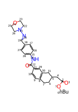 CCCCOC(=O)CC1CCc2ccc(C(=O)Nc3ccc(C=NN4CCOCC4)cc3)cc2C1